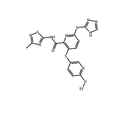 CCOc1ccc(Sc2ccc(Sc3nnc[nH]3)nc2C(=O)Nc2nc(C)ns2)cn1